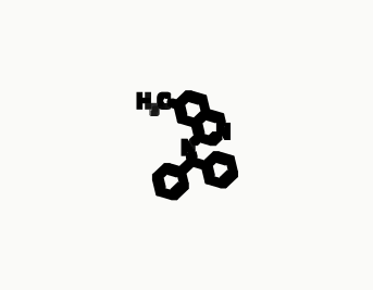 Cc1ccc2cncc(N=C(c3ccccc3)c3ccccc3)c2c1